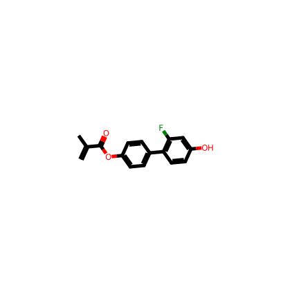 C=C(C)C(=O)Oc1ccc(-c2ccc(O)cc2F)cc1